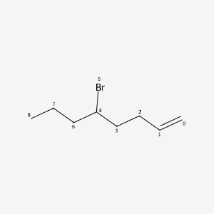 C=CCCC(Br)CCC